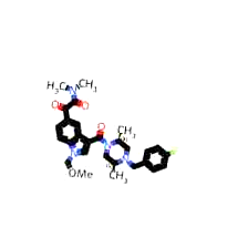 COCn1cc(C(=O)N2C[C@H](C)N(Cc3ccc(F)cc3)C[C@H]2C)c2cc(C(=O)C(=O)N(C)C)ccc21